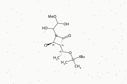 COC(O)C(O)N1C(=O)[C@H]([C@@H](C)O[Si](C)(C)C(C)(C)C)[C@H]1Cl